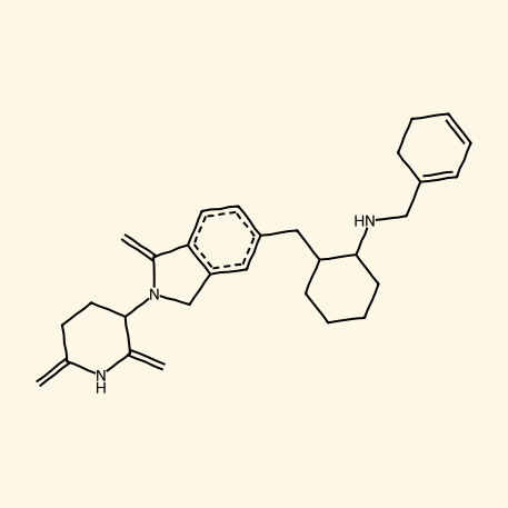 C=C1CCC(N2Cc3cc(CC4CCCCC4NCC4=CC=CCC4)ccc3C2=C)C(=C)N1